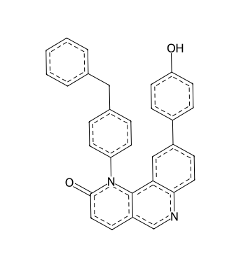 O=c1ccc2cnc3ccc(-c4ccc(O)cc4)cc3c2n1-c1ccc(Cc2ccccc2)cc1